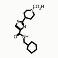 O=C(NCC1CCCCC1)c1csc(C2CCN(C(=O)O)CC2)n1